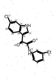 CCc1cccc(NC(=O)C(=O)c2c[nH]c3cc(Cl)ccc23)c1